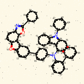 c1ccc(-c2nc3ccc4oc5ccc(-c6ccc(N(c7ccccc7-c7ccccc7)c7cccc8c7c7ccccc7n8-c7ccccc7)cc6)cc5c4c3o2)cc1